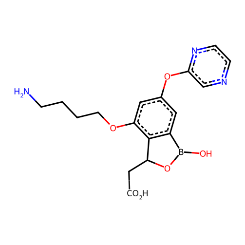 NCCCCOc1cc(Oc2cnccn2)cc2c1C(CC(=O)O)OB2O